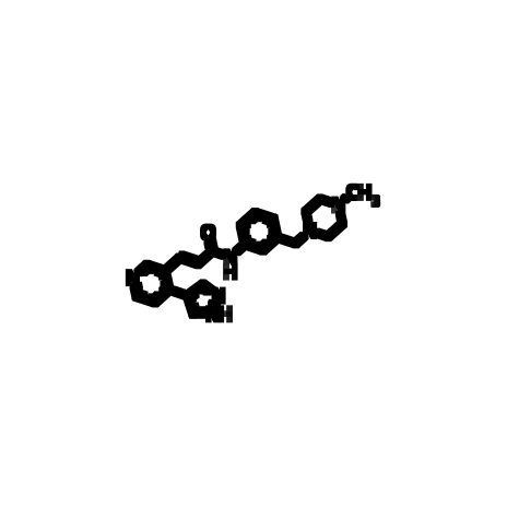 CN1CCN(Cc2cccc(NC(=O)/C=C/c3cnccc3-c3cn[nH]c3)c2)CC1